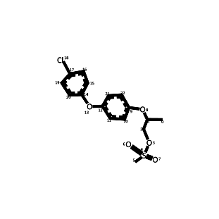 CC(COS(C)(=O)=O)Oc1ccc(Oc2ccc(Cl)cc2)cc1